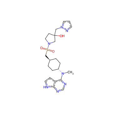 CN(c1ncnc2[nH]ccc12)[C@H]1CC[C@H](CS(=O)(=O)N2CCC(O)(Cn3cccn3)C2)CC1